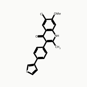 COc1cc2[nH]c(C)c(-c3ccc(-c4ccsc4)cc3)c(=O)c2cc1Cl